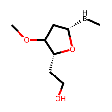 CB[C@H]1CC(OC)[C@@H](CCO)O1